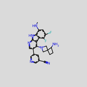 CNc1cc(F)c(F)c2c1[nH]c1ncc(-c3cncc(C#N)c3)c(N3CC4(CCC4N)C3)c12